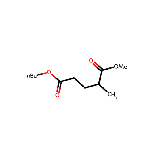 CCCCOC(=O)CCC(C)C(=O)OC